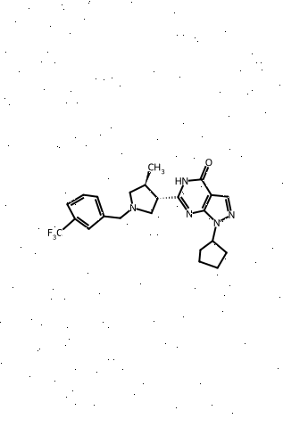 C[C@@H]1CN(Cc2cccc(C(F)(F)F)c2)C[C@H]1c1nc2c(cnn2C2CCCC2)c(=O)[nH]1